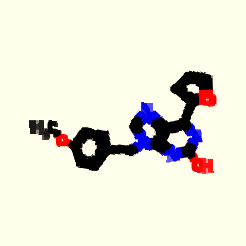 COc1ccc(Cn2cnc3c(-c4ccco4)nc(O)nc32)cc1